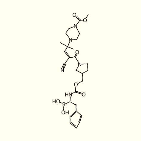 COC(=O)N1CCN(C(C)(C)C=C(C#N)C(=O)N2CCC(COC(=O)N[C@@H](Cc3ccccc3)B(O)O)C2)CC1